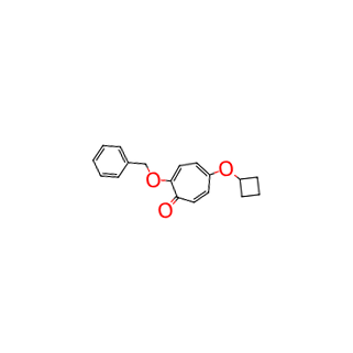 O=c1ccc(OC2CCC2)ccc1OCc1ccccc1